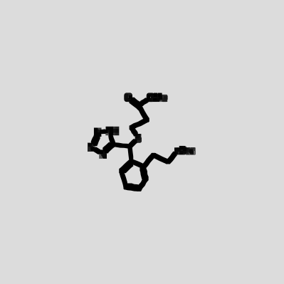 CCCCCCCCCCCCc1ccccc1C(SCCC(=O)OC)c1nnn[nH]1